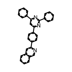 c1ccc(-c2cc(-c3ccc(-c4cc5ccccc5cn4)cc3)nc(-c3ccccc3)n2)cc1